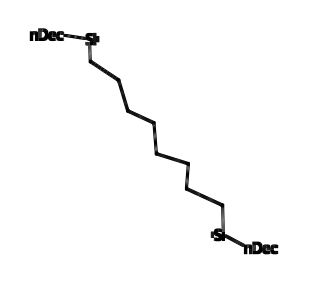 CCCCCCCCCC[Si]CCCCCCCC[Si]CCCCCCCCCC